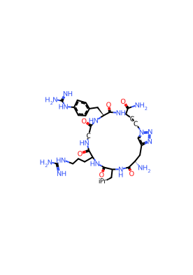 CC(C)CC1NC(=O)[C@@H](N)Cc2cn(nn2)CCC(C(N)=O)NC(=O)[C@H](Cc2ccc(NC(=N)N)cc2)NC(=O)CNC(=O)C(CCCNC(=N)N)NC1=O